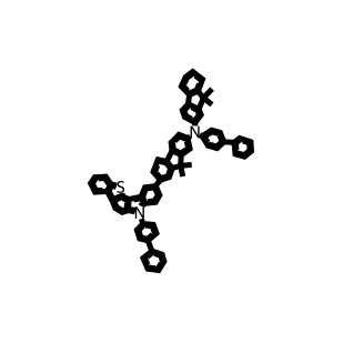 CC1(C)c2ccccc2-c2ccc(N(c3ccc(-c4ccccc4)cc3)c3ccc4c(c3)C(C)(C)c3cc(-c5ccc6c(c5)c5c7sc8ccccc8c7ccc5n6-c5ccc(-c6ccccc6)cc5)ccc3-4)cc21